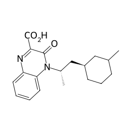 CC1CCC[C@@H](C[C@H](C)n2c(=O)c(C(=O)O)nc3ccccc32)C1